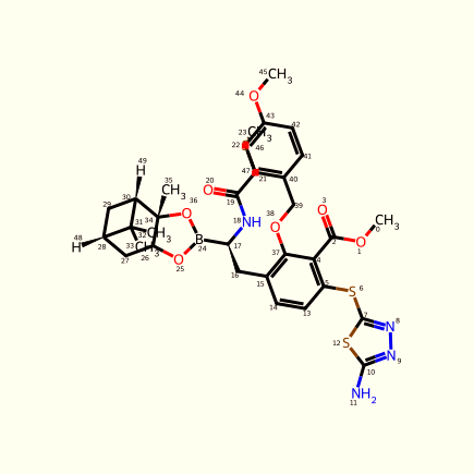 COC(=O)c1c(Sc2nnc(N)s2)ccc(C[C@H](NC(=O)CSC)B2OC3C[C@@H]4C[C@@H](C4(C)C)[C@]3(C)O2)c1OCc1ccc(OC)cc1